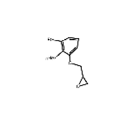 CCCCCCc1c(CC)cccc1OCC1CO1